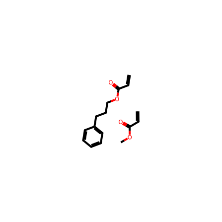 C=CC(=O)OC.C=CC(=O)OCCCc1ccccc1